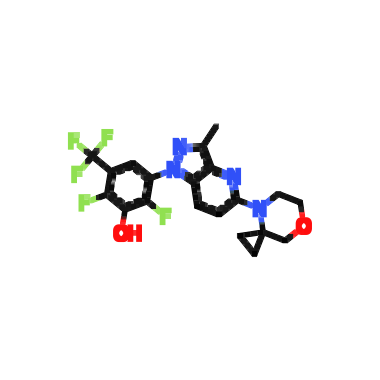 Cc1nn(-c2cc(C(F)(F)F)c(F)c(O)c2F)c2ccc(N3CCOCC34CC4)nc12